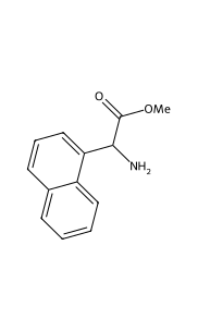 COC(=O)C(N)c1cccc2ccccc12